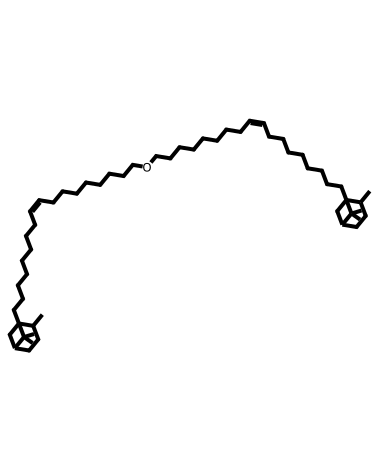 CC1CCC2CC1(CCCCCCCC/C=C\CCCCCCCCOCCCCCCCC/C=C\CCCCCCCCC13CC(CCC1C)C3(C)C)C2(C)C